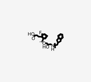 C[C@@H](OC[C@@H](O)CNC(C)(C)CC1Cc2ccccc2C1)c1cccc(F)c1CCC(=O)O